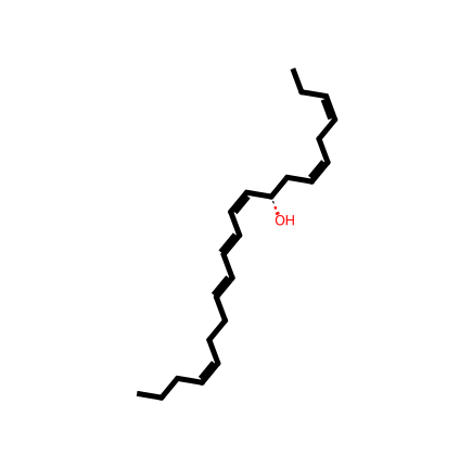 CC/C=C\C/C=C\C[C@H](O)\C=C/C=C/C=C/CC/C=C\CCC